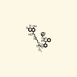 CC(C)(Oc1cccc(C(NC(=O)OC2CN3CCC2CC3)c2ccccc2)c1)C(=O)OCCCCNCC(O)c1ccc(O)c2[nH]c(=O)ccc12